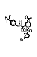 CC(=O)N1CCN(S(=O)(=O)C2CC=C(Br)S2)C(C(=O)NCc2ccc(C(F)(F)F)cc2)C1